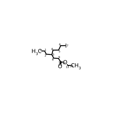 CCCC(CCCI)CCC(=O)OCC